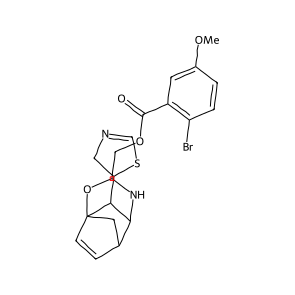 COc1ccc(Br)c(C(=O)OCC2NC3C4C=CC(C4)(O2)C3C2CN=CS2)c1